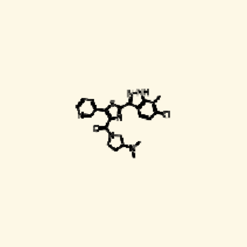 Cc1c(Cl)ccc2c(-c3nc(C(=O)N4CCC(N(C)C)C4)c(-c4cccnc4)s3)n[nH]c12